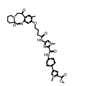 COC(=O)c1cc(-c2ccc(NC(=O)c3nc(NC(=O)CCCOc4cc5c(cc4C)C(=O)CN4CCCC[C@H]4/C=N\5)cn3C)cc2)cn1C